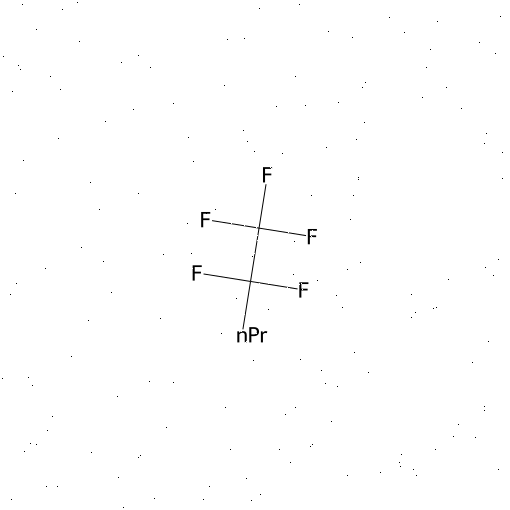 [CH2]CCC(F)(F)C(F)(F)F